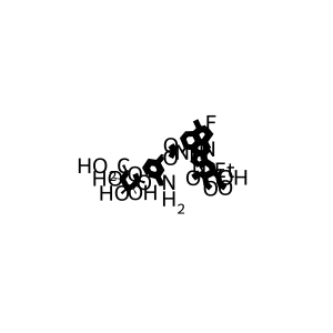 CC[C@@]1(O)C(=O)OCc2c1cc1n(c2=O)Cc2c-1nc1cc(F)c(C)c3c1c2[C@@H](NC(=O)OCc1ccc(O[C@@H]2O[C@H](C(=O)O)[C@@H](O)[C@H](O)[C@H]2O)c(CN)c1)CC3